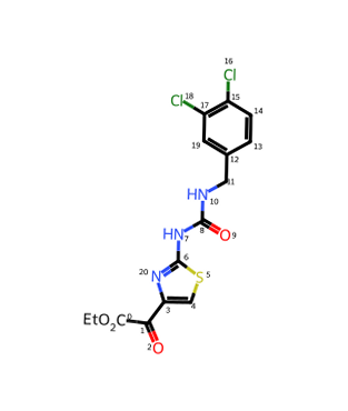 CCOC(=O)C(=O)c1csc(NC(=O)NCc2ccc(Cl)c(Cl)c2)n1